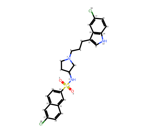 O=S(=O)(NC1CCN(CCCc2c[nH]c3ccc(Cl)cc23)C1)c1ccc2cc(Cl)ccc2c1